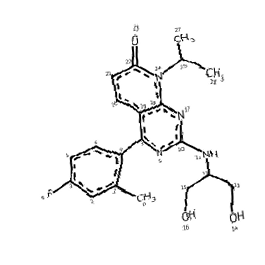 Cc1cc(F)ccc1-c1nc(NC(CO)CO)nc2c1ccc(=O)n2C(C)C